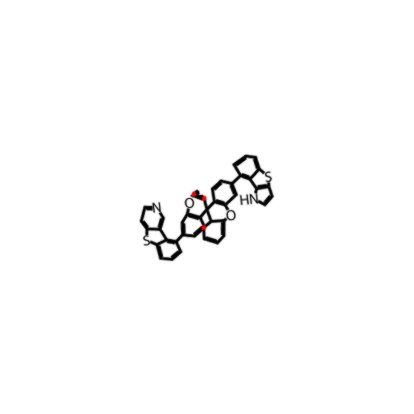 C1=CCC2C(=C1)Oc1cc(-c3cccc4sc5cc[nH]c5c34)ccc1C21C2=C(C=CCC2)Oc2cc(-c3cccc4sc5ccncc5c34)ccc21